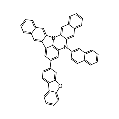 c1ccc2cc(N3c4cc5ccccc5cc4B4c5cc6ccccc6cc5-c5cc(-c6ccc7c(c6)oc6ccccc67)cc3c54)ccc2c1